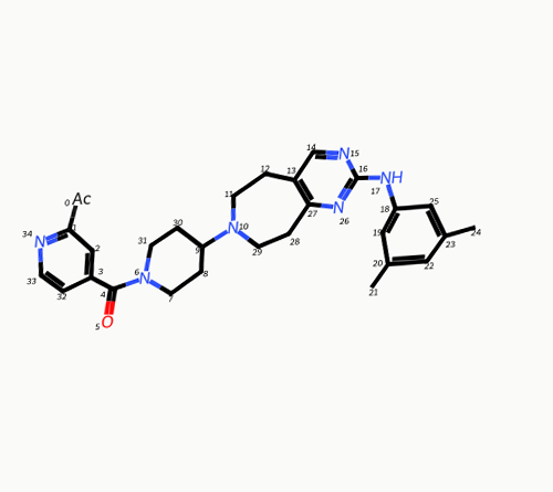 CC(=O)c1cc(C(=O)N2CCC(N3CCc4cnc(Nc5cc(C)cc(C)c5)nc4CC3)CC2)ccn1